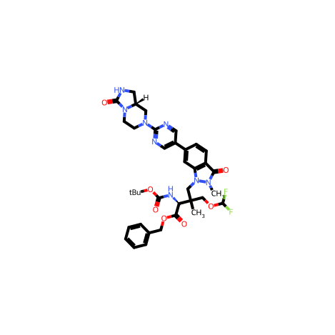 Cn1c(=O)c2ccc(-c3cnc(N4CCN5C(=O)NC[C@@H]5C4)nc3)cc2n1CC(C)(COC(F)F)[C@H](NC(=O)OC(C)(C)C)C(=O)OCc1ccccc1